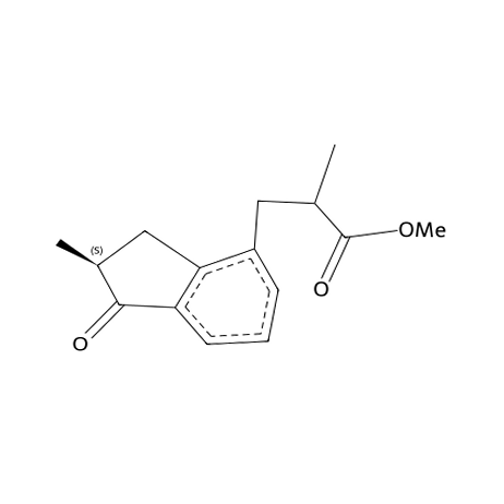 COC(=O)C(C)Cc1cccc2c1C[C@H](C)C2=O